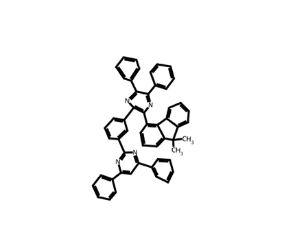 CC1(C)c2ccccc2-c2c(-c3nc(-c4ccccc4)c(-c4ccccc4)nc3-c3cccc(-c4nc(-c5ccccc5)cc(-c5ccccc5)n4)c3)cccc21